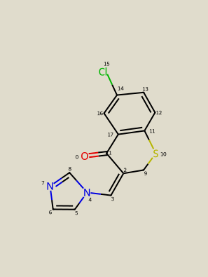 O=C1C(=Cn2ccnc2)CSc2ccc(Cl)cc21